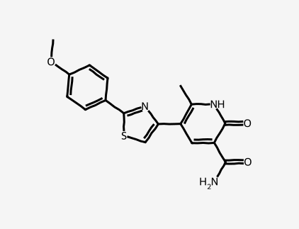 COc1ccc(-c2nc(-c3cc(C(N)=O)c(=O)[nH]c3C)cs2)cc1